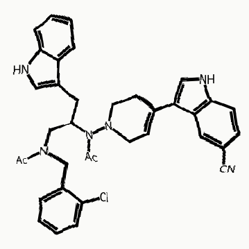 CC(=O)N(Cc1ccccc1Cl)C[C@@H](Cc1c[nH]c2ccccc12)N(C(C)=O)N1CC=C(c2c[nH]c3ccc(C#N)cc23)CC1